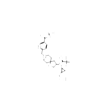 CC[C@@H]1C[C@H]1N(C(=O)C(F)(F)F)C1COC2(CCN(Cc3ccc(C(=O)OC)cn3)CC2)C1